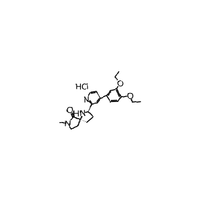 CCOc1ccc(-c2ccnc([C@H]3CC[C@@]4(CCN(C)C4=O)N3)c2)cc1OCC.Cl